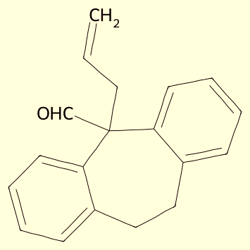 C=CCC1(C=O)c2ccccc2CCc2ccccc21